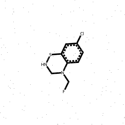 FCN1CNSc2cc(Cl)ccc21